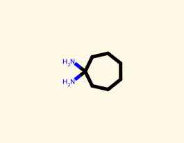 NC1(N)CCCCCC1